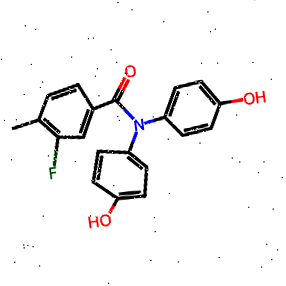 Cc1ccc(C(=O)N(c2ccc(O)cc2)c2ccc(O)cc2)cc1F